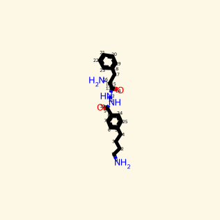 NCCCCc1ccc(C(=O)NNC(=O)[C@H](N)Cc2ccccc2)cc1